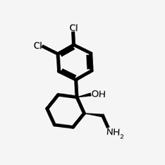 NC[C@H]1CCCC[C@]1(O)c1ccc(Cl)c(Cl)c1